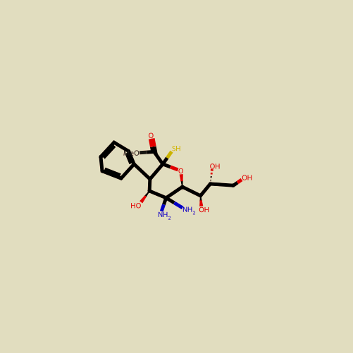 COC(=O)C1(S)O[C@@H]([C@H](O)[C@H](O)CO)C(N)(N)[C@@H](O)C1c1ccccc1